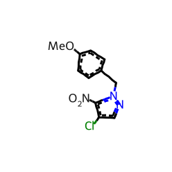 COc1ccc(Cn2ncc(Cl)c2[N+](=O)[O-])cc1